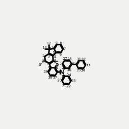 C[C@@H]1CC2=C(c3ccccc3C2(C)C)c2sc3c(N(c4ccccc4)c4cccc(-c5ccccc5)c4)cccc3c21